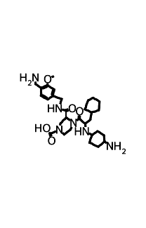 COc1cc(CNC(=O)[C@@H]2CN(C(=O)O)CCN2C(=O)C(CC2CCCCC2)NC2CCC(N)CC2)ccc1CN